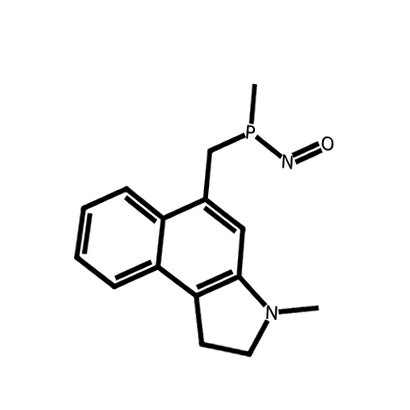 CN1CCc2c1cc(CP(C)N=O)c1ccccc21